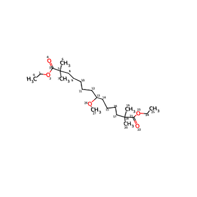 CCOC(=O)C(C)(C)CCCCCC(CCCCC(C)(C)C(=O)OCC)OC